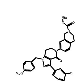 COc1ccc(Cn2nc(-c3cccc(Cl)c3)c3c2CCN(c2ccc4c(c2)CN(C(=O)OC(C)(C)C)CC4)C3=O)cc1